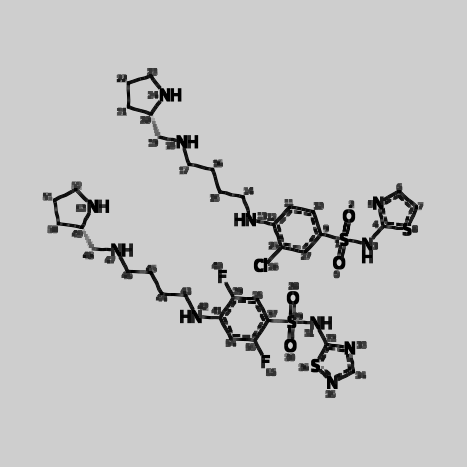 O=S(=O)(Nc1nccs1)c1ccc(NCCCCNC[C@@H]2CCCN2)c(Cl)c1.O=S(=O)(Nc1ncns1)c1cc(F)c(NCCCCNC[C@@H]2CCCN2)cc1F